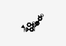 COc1ccc(C23CCC(CN(C(=O)C4CCCCC4)c4cc(-c5cnn(C6CC6)c5)ccn4)(CC2)CC3)cc1C